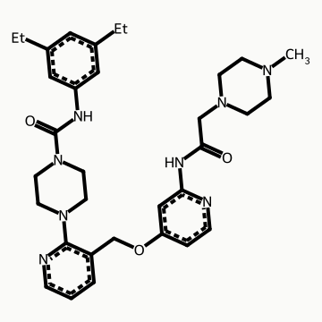 CCc1cc(CC)cc(NC(=O)N2CCN(c3ncccc3COc3ccnc(NC(=O)CN4CCN(C)CC4)c3)CC2)c1